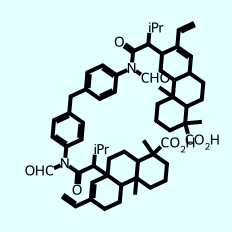 C=CC1=CC2(C(C(=O)N(C=O)c3ccc(Cc4ccc(N(C=O)C(=O)C(C(C)C)C5CC6C(C=C5C=C)CCC5C(C)(C(=O)O)CCCC65C)cc4)cc3)C(C)C)CCC3C(C)(C(=O)O)CCCC3(C)C2CC1